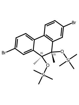 C[C@]1(O[Si](C)(C)C)c2cc(Br)ccc2-c2ccc(Br)cc2[C@]1(C)O[Si](C)(C)C